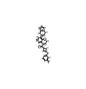 O=C(C1CN(Cc2cccc(F)c2)C1)N1CCOc2c(N3CCn4ccnc4C3)cncc21